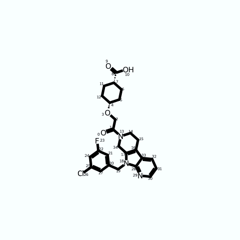 O=C(CO[C@H]1CC[C@@H](C(=O)O)CC1)N1CCc2c(n(Cc3cc(F)cc(Cl)c3)c3ncccc23)C1